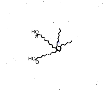 CCCCC/C=C/c1c(CCCCC)ccc(CCCCCCCCC(=O)O)c1CCCCCCCCC(=O)O